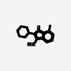 Cc1cccc2c(C=O)c(C3CCCCC3)[nH]c12